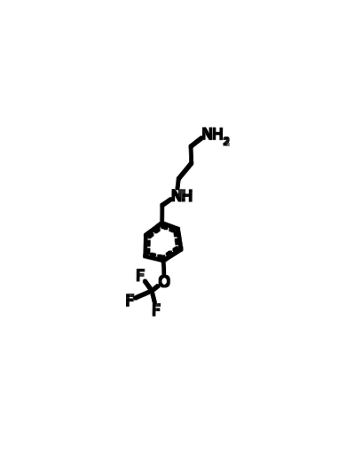 NCCCNCc1ccc(OC(F)(F)F)cc1